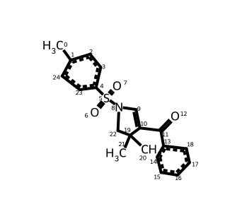 Cc1ccc(S(=O)(=O)N2C=C(C(=O)c3ccccc3)C(C)(C)C2)cc1